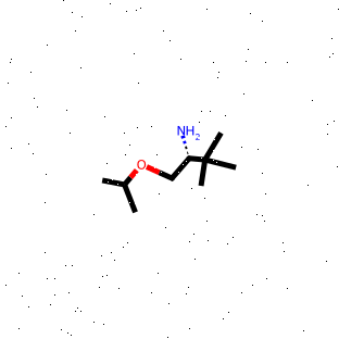 CC(C)OC[C@H](N)C(C)(C)C